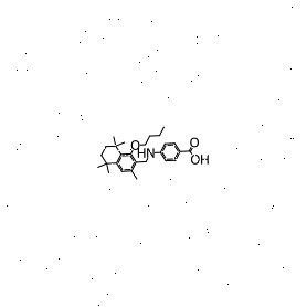 CCCCOc1c(CNc2ccc(C(=O)O)cc2)c(C)cc2c1C(C)(C)CCC2(C)C